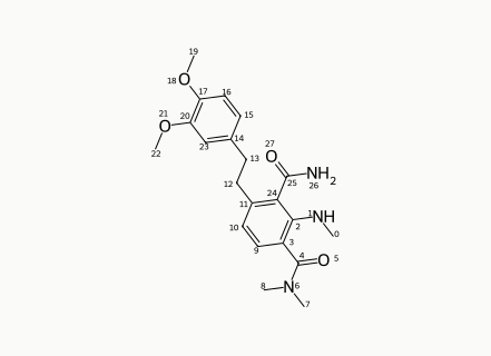 CNc1c(C(=O)N(C)C)ccc(CCc2ccc(OC)c(OC)c2)c1C(N)=O